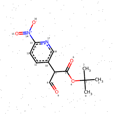 CC(C)(C)OC(=O)C(C=O)c1ccc([N+](=O)[O-])nc1